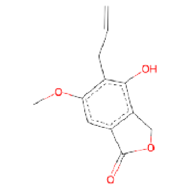 C=CCc1c(OC)cc2c(c1O)COC2=O